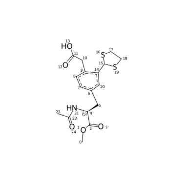 COC(=O)[C@H](Cc1ccc(CC(=O)O)c(C2SCCS2)c1)NC(C)=O